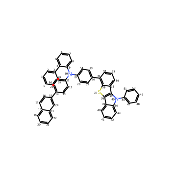 c1ccc(-c2ccccc2N(c2ccc(-c3ccc4ccccc4c3)cc2)c2ccc(-c3cccc4c3sc3c5ccccc5n(-c5ccccc5)c43)cc2)cc1